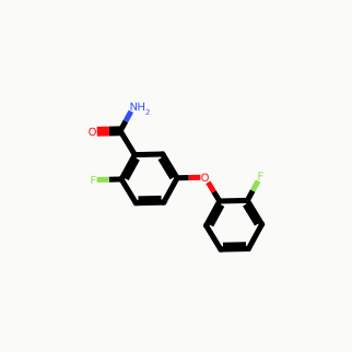 NC(=O)c1cc(Oc2ccccc2F)ccc1F